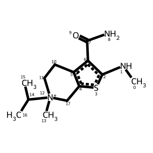 CNc1sc2c(c1C(N)=O)CC[N+](C)(C(C)C)C2